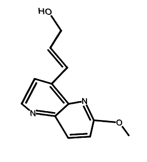 COc1ccc2nccc(/C=C/CO)c2n1